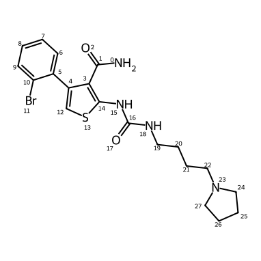 NC(=O)c1c(-c2ccccc2Br)csc1NC(=O)NCCCCN1CCCC1